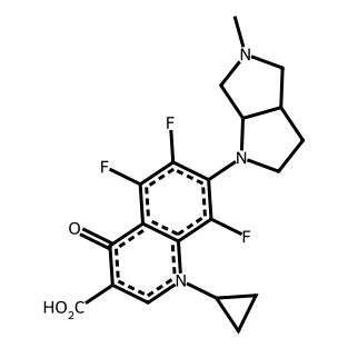 CN1CC2CCN(c3c(F)c(F)c4c(=O)c(C(=O)O)cn(C5CC5)c4c3F)C2C1